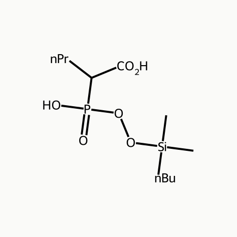 CCCC[Si](C)(C)OOP(=O)(O)C(CCC)C(=O)O